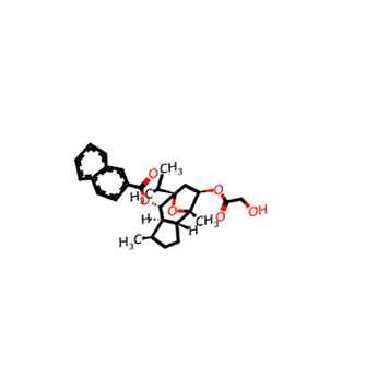 CC(C)[C@@]12C[C@@H](OC(=O)CO)[C@@](C)(O1)[C@@H]1CC[C@@H](C)[C@H]1[C@@H]2OC(=O)c1ccc2ccccc2c1